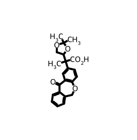 CC1(C)OCC(C(C)(C(=O)O)c2ccc3c(c2)C(=O)c2ccccc2CO3)O1